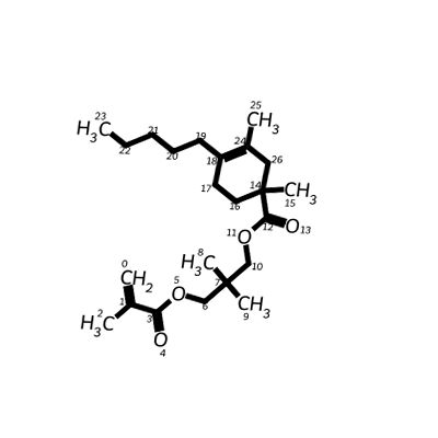 C=C(C)C(=O)OCC(C)(C)COC(=O)C1(C)CCC(CCCCC)=C(C)C1